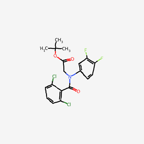 CC(C)(C)OC(=O)CN(C(=O)c1c(Cl)cccc1Cl)c1ccc(F)c(F)c1